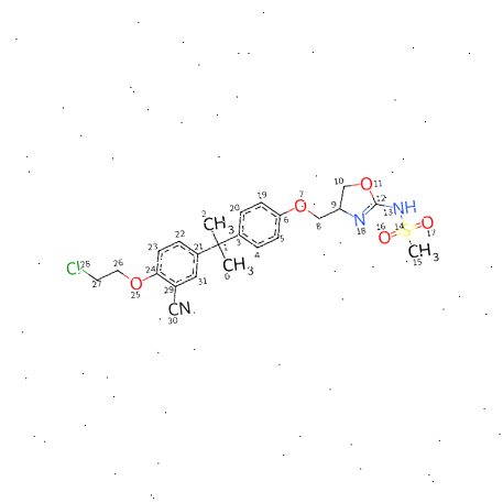 CC(C)(c1ccc(OCC2COC(NS(C)(=O)=O)=N2)cc1)c1ccc(OCCCl)c(C#N)c1